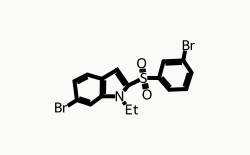 CCn1c(S(=O)(=O)c2cccc(Br)c2)cc2ccc(Br)cc21